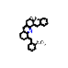 O=[N+]([O-])c1ccccc1C=C1CCCc2cc3c(nc21)C(=Cc1ccccc1[N+](=O)[O-])CCC3